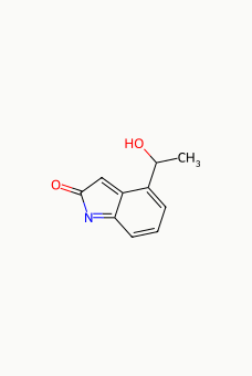 CC(O)c1cccc2c1=CC(=O)N=2